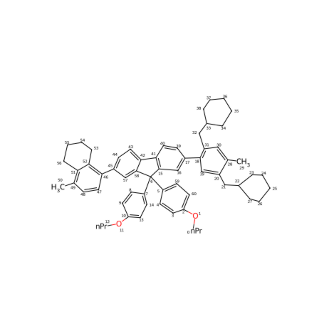 CCCOc1ccc(C2(c3ccc(OCCC)cc3)c3cc(-c4cc(CC5CCCCC5)c(C)cc4CC4CCCCC4)ccc3-c3ccc(-c4ccc(C)c5c4CCCC5)cc32)cc1